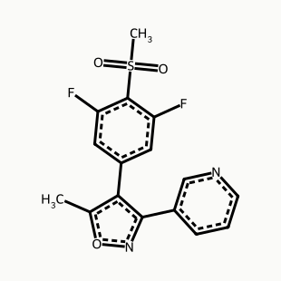 Cc1onc(-c2cccnc2)c1-c1cc(F)c(S(C)(=O)=O)c(F)c1